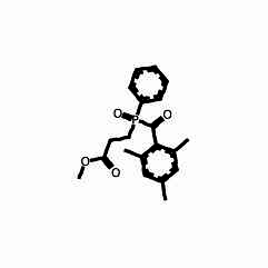 COC(=O)CCP(=O)(C(=O)c1c(C)cc(C)cc1C)c1ccccc1